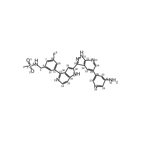 CS(=O)(=O)NCc1cc(F)cc(-c2nccc3[nH]c(-c4n[nH]c5ncc(-c6cncc(N)c6)cc45)cc23)c1